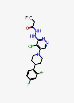 O=C(CC(F)(F)F)NNc1nncc(N2CCC(c3ccc(F)cc3F)CC2)c1Cl